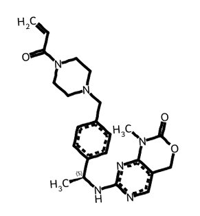 C=CC(=O)N1CCN(Cc2ccc([C@H](C)Nc3ncc4c(n3)N(C)C(=O)OC4)cc2)CC1